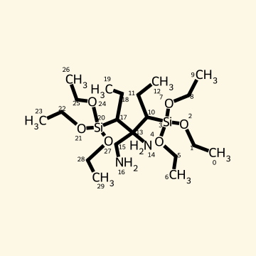 CCO[Si](OCC)(OCC)C(CC)C(N)(CN)C(CC)[Si](OCC)(OCC)OCC